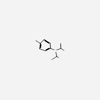 Cc1ccc(N(C(C)Cl)C(C)Cl)cc1